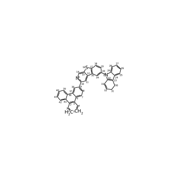 C=Cc1c(C=C)c2ccc(-c3cc4c(cn3)sc3ccc(-n5c6c(c7ccccc75)CCC=C6)cc34)cc2c2ccccc12